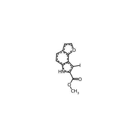 COC(=O)c1[nH]c2ccc3ccoc3c2c1I